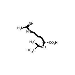 C[C@@H](N[C@H](CCCNC(=N)N)C(=O)O)C(=O)O